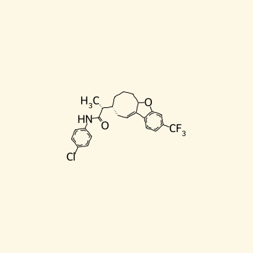 C[C@@H](C(=O)Nc1ccc(Cl)cc1)[C@H]1C/C=C2/c3ccc(C(F)(F)F)cc3OC2CCC1